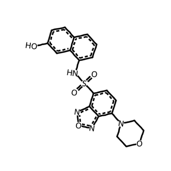 O=S(=O)(Nc1cccc2ccc(O)cc12)c1ccc(N2CCOCC2)c2nonc12